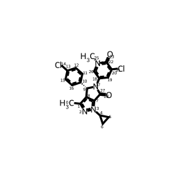 Cc1nn(C2CC2)c2c1[C@H](c1ccc(Cl)cc1)N(c1cc(Cl)c(=O)n(C)c1)C2=O